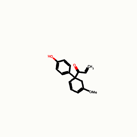 C=CC(=O)C1(c2ccc(O)cc2)C=CC=C(OC)C1